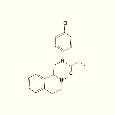 CCC(=O)N(CC1c2ccccc2CCN1C)c1ccc(Cl)cc1